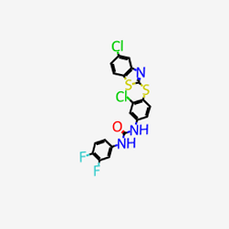 O=C(Nc1ccc(F)c(F)c1)Nc1ccc(Sc2nc3cc(Cl)ccc3s2)c(Cl)c1